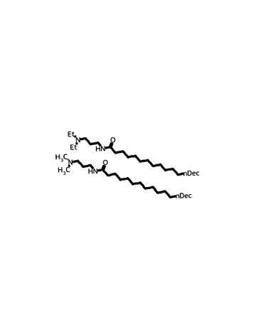 CCCCCCCCCCCCCCCCCCCCCC(=O)NCCCN(C)C.CCCCCCCCCCCCCCCCCCCCCC(=O)NCCCN(CC)CC